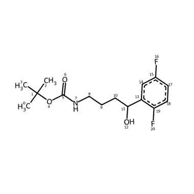 CC(C)(C)OC(=O)NCCCC(O)c1cc(F)ccc1F